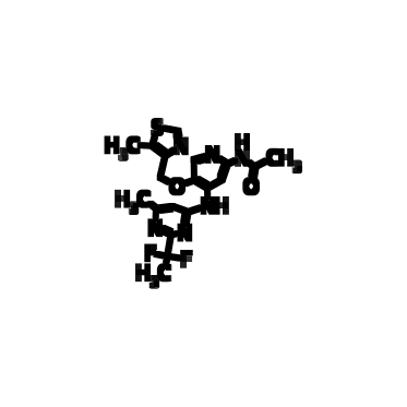 CC(=O)Nc1cc(Nc2cc(C)nc(C(C)(F)F)n2)c(OCc2ncsc2C)cn1